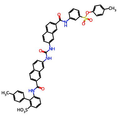 Cc1ccc(OS(=O)(=O)c2cccc(NC(=O)c3ccc4ccc(NC(=O)Nc5ccc6ccc(C(=O)Nc7cccc(S(=O)(=O)O)c7-c7ccc(C)cc7)cc6c5)cc4c3)c2)cc1